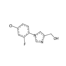 OCc1cn(-c2ccc(Cl)cc2F)cn1